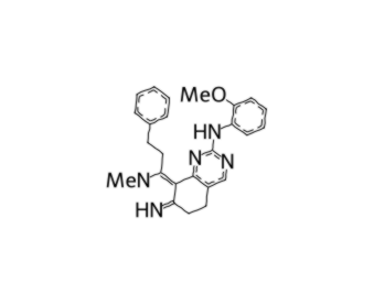 CN/C(CCc1ccccc1)=C1\C(=N)CCc2cnc(Nc3ccccc3OC)nc21